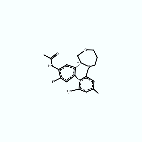 CC(=O)Nc1cc([C@@H]2COCCCN2c2cc(C)nc(N)n2)c(Cl)cc1F